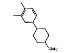 CNC1CCC(c2ccc(C)c(C)c2)CC1